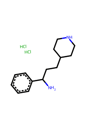 Cl.Cl.NC(CCC1CCNCC1)c1ccccc1